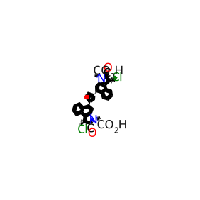 O=C=C1[C@@H](CCl)c2c(cc([C@]34CC[C@@](c5cc6c(c7ccccc75)[C@H](CCl)C(=C=O)N6CC(=O)O)(C3)C4)c3ccccc23)N1CC(=O)O